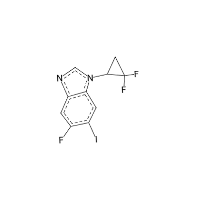 Fc1cc2ncn(C3CC3(F)F)c2cc1I